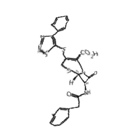 O=C(Cc1ccccc1)N[C@@H]1C(=O)N2C(C(=O)O)=C(Sc3snnc3-c3ccccc3)CS[C@@H]12